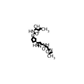 CC=C(F)[C@H](C)NC(=O)O[C@@H]1CC[C@H](c2cc(NC(=O)Cc3ncc(C)o3)n[nH]2)C1